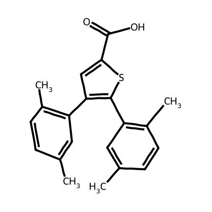 Cc1ccc(C)c(-c2cc(C(=O)O)sc2-c2cc(C)ccc2C)c1